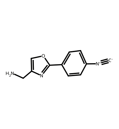 [C-]#[N+]c1ccc(-c2nc(CN)co2)cc1